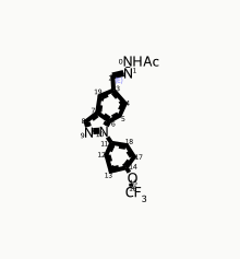 CC(=O)N/N=C/c1ccc2c(cnn2-c2ccc(OC(F)(F)F)cc2)c1